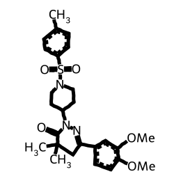 COc1ccc(C2=NN(C3CCN(S(=O)(=O)c4ccc(C)cc4)CC3)C(=O)C(C)(C)C2)cc1OC